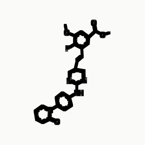 COC(=O)c1cc(C=Cc2cnc(Nc3ccc(-n4ccccc4=O)cc3)nc2)c(F)c(OC)c1